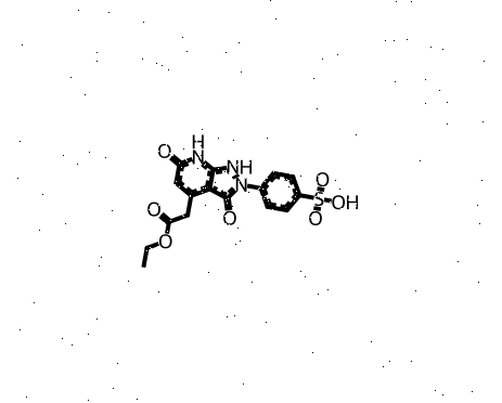 CCOC(=O)Cc1cc(=O)[nH]c2[nH]n(-c3ccc(S(=O)(=O)O)cc3)c(=O)c12